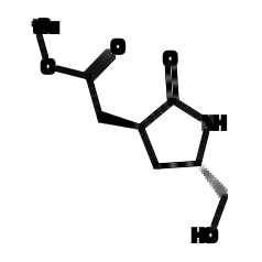 CC(C)(C)OC(=O)C[C@@H]1C[C@@H](CO)NC1=O